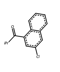 CC(C)C(=O)c1cc(Cl)cc2ccccc12